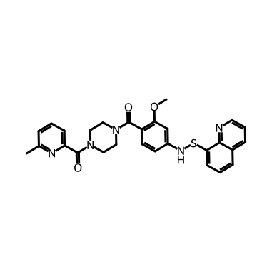 COc1cc(NSc2cccc3cccnc23)ccc1C(=O)N1CCN(C(=O)c2cccc(C)n2)CC1